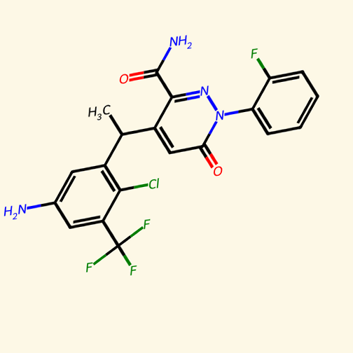 CC(c1cc(=O)n(-c2ccccc2F)nc1C(N)=O)c1cc(N)cc(C(F)(F)F)c1Cl